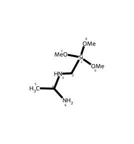 CO[Si](CNC(C)N)(OC)OC